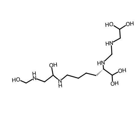 OCNCC(O)NCCCC[C@H](NCNCC(O)O)C(O)O